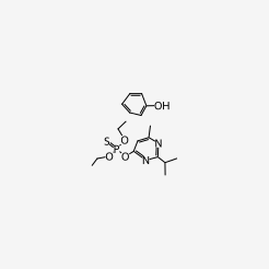 CCOP(=S)(OCC)Oc1cc(C)nc(C(C)C)n1.Oc1ccccc1